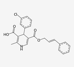 CC1=C(C(=O)O)C(c2cccc(Cl)c2)C(C(=O)OCC=Cc2ccccc2)=CN1